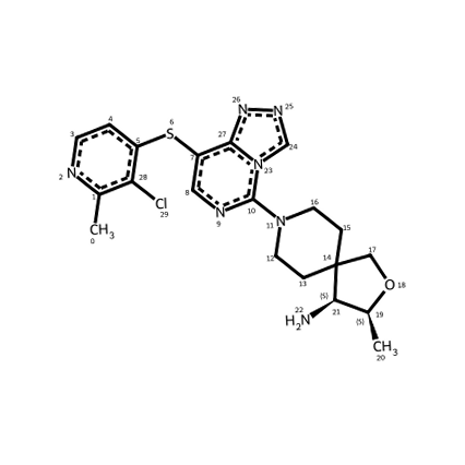 Cc1nccc(Sc2cnc(N3CCC4(CC3)CO[C@@H](C)[C@H]4N)n3cnnc23)c1Cl